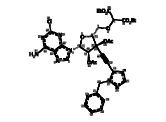 CCOC(=O)C(OC[C@H]1O[C@@H](n2cnc3c(N)nc(Cl)nc32)[C@H](OC(C)=O)[C@]1(C#Cc1ccnn1Cc1ccccc1)OC(C)=O)C(=O)OCC